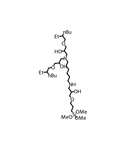 CCCCC(CC)COCC(O)CN(CCCCCCNCC(O)COCCC[Si](OC)(OC)OC)CC(O)COCC(CC)CCCC